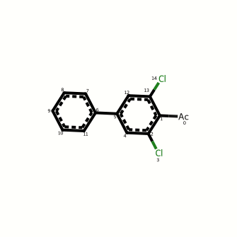 CC(=O)c1c(Cl)cc(-c2ccccc2)cc1Cl